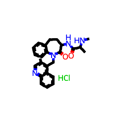 CNC(C)C(=O)NC1CCc2ccccc2N(Cc2c(C)cnc3ccccc23)C1=O.Cl